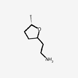 C[C@H]1CCC(CCN)O1